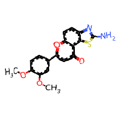 COc1ccc(-c2cc(=O)c3c(ccc4nc(N)sc43)o2)cc1OC